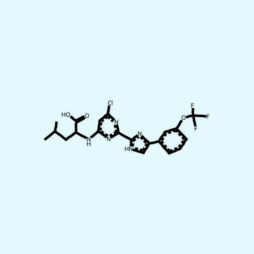 CC(C)CC(Nc1cc(Cl)nc(-c2nc(-c3cccc(OC(F)(F)F)c3)c[nH]2)n1)C(=O)O